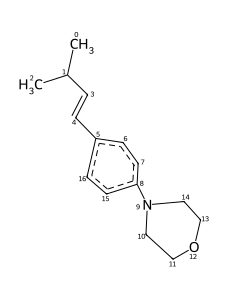 CC(C)/C=C/c1ccc(N2CCOCC2)cc1